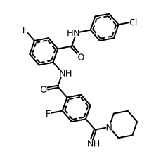 N=C(c1ccc(C(=O)Nc2ccc(F)cc2C(=O)Nc2ccc(Cl)cc2)c(F)c1)N1CCCCC1